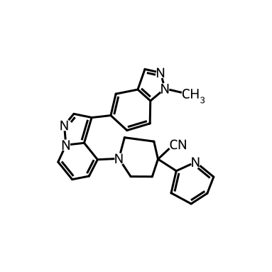 Cn1ncc2cc(-c3cnn4cccc(N5CCC(C#N)(c6ccccn6)CC5)c34)ccc21